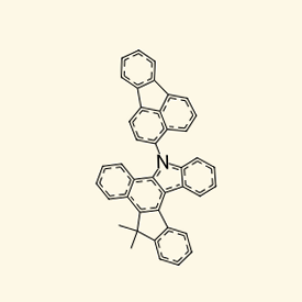 CC1(C)c2ccccc2-c2c1c1ccccc1c1c2c2ccccc2n1-c1ccc2c3c(cccc13)-c1ccccc1-2